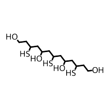 OCCC(S)CC(O)CC(S)CC(O)CC(S)CCO